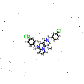 [2H]C1CN(Cc2cccc(Cl)c2)CC2=C1n1cccc1N(Cc1ccc(Cl)cc1)C2